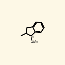 CO[C@@H]1c2ccccc2CC1C